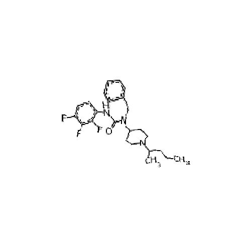 CCCC(C)N1CCC(N(Cc2ccccc2)C(=O)Nc2ccc(F)c(F)c2F)CC1